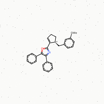 COc1cccc(C[C@@H]2CCC=C2c2nc(-c3ccccc3)c(-c3ccccc3)o2)c1